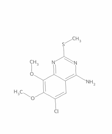 COc1c(Cl)cc2c(N)nc(SC)nc2c1OC